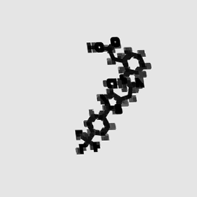 Cc1nc(-c2ccc(C(F)(F)F)cc2)sc1Cc1nc2cccc(CC(=O)O)c2s1